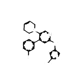 CC(=O)c1cccc(-c2cc(Sc3csc(Cl)c3)ncc2N2CC=CCC2)c1